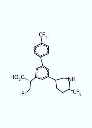 CC(C)C[C@H](C(=O)O)c1cc(-c2ccc(C(F)(F)F)cc2)cc(C2CCC(C(F)(F)F)NC2)c1